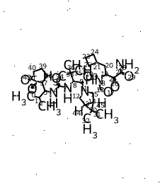 CC(C)C(NC(=O)N[C@H](C(=O)N1C[C@H]2[C@@H]([C@H]1C(=O)NC(CC1CCC1)C(=O)C(N)=O)C2(C)C)C(C)(C)C)C1CCCS1(=O)=O